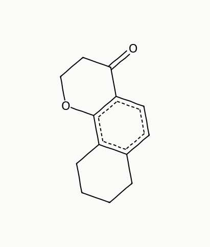 O=C1CCOc2c1ccc1c2CCCC1